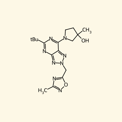 Cc1noc(Cn2nc3nc(C(C)(C)C)nc(N4CCC(C)(O)C4)c3n2)n1